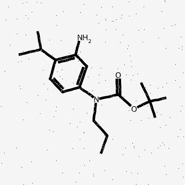 CCCN(C(=O)OC(C)(C)C)c1ccc(C(C)C)c(N)c1